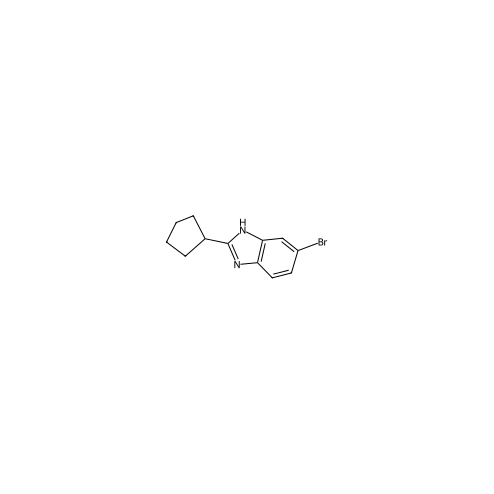 Brc1ccc2nc(C3CCCC3)[nH]c2c1